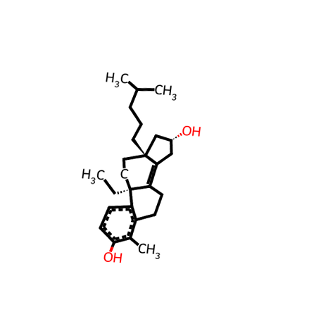 CC[C@]12CC[C@]3(CCCC(C)C)C[C@H](O)CC3=C1CCc1c2ccc(O)c1C